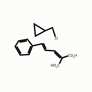 ClCC1CC1.O=C(O)C(=CC=Cc1ccccc1)C(=O)O